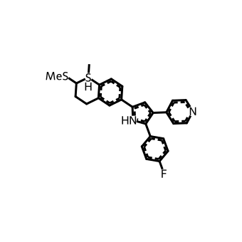 CSC1CCc2cc(-c3cc(-c4ccncc4)c(-c4ccc(F)cc4)[nH]3)ccc2[SH]1C